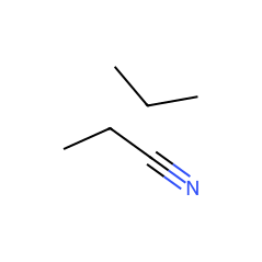 CCC.CCC#N